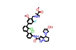 COC(=O)C(C)(C)NCc1c(F)cc(-c2cccc(-c3cccc(NC(=O)c4cc5n(n4)CCCC5N4CC[C@@H](O)C4)c3Cl)c2Cl)cc1OC